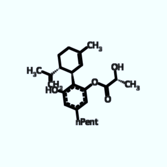 C=C(C)[C@@H]1CCC(C)=C[C@H]1c1c(O)cc(CCCCC)cc1OC(=O)[C@@H](C)O